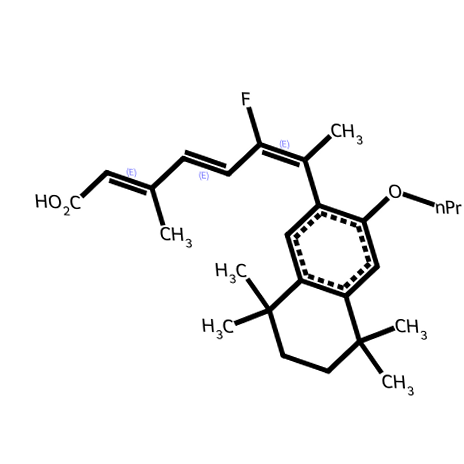 CCCOc1cc2c(cc1\C(C)=C(F)/C=C/C(C)=C/C(=O)O)C(C)(C)CCC2(C)C